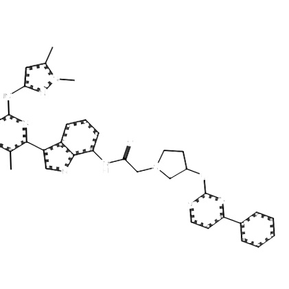 Cc1cnc(Nc2cc(C)n(C)n2)nc1-c1c[nH]c2c(NC(=O)CN3CCC(Oc4nccc(-c5ccccc5)n4)C3)cccc12